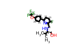 CC(C)[C@H](CO)NCc1nc(-c2ccc(OC(F)(F)F)cc2)ccc1F